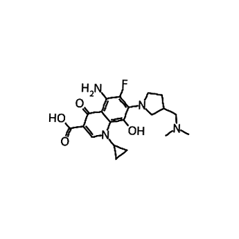 CN(C)CC1CCN(c2c(F)c(N)c3c(=O)c(C(=O)O)cn(C4CC4)c3c2O)C1